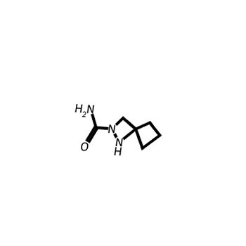 NC(=O)N1CC2(CCC2)N1